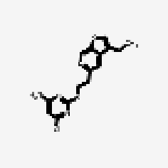 CCc1csc2cnc(CCSc3nc(N)cc(Cl)n3)cc12